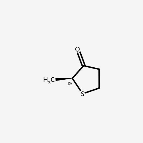 C[C@@H]1SCCC1=O